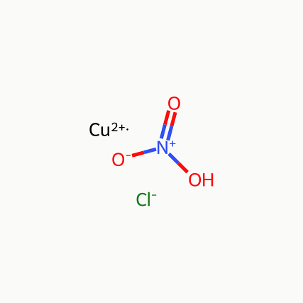 O=[N+]([O-])O.[Cl-].[Cu+2]